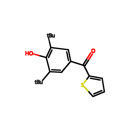 CC(C)(C)c1cc(C(=O)c2cccs2)cc(C(C)(C)C)c1O